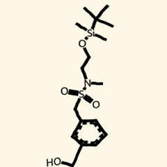 CN(CCO[Si](C)(C)C(C)(C)C)S(=O)(=O)Cc1cccc(CO)c1